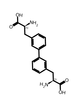 N[C@@H](Cc1cccc(-c2cccc(C[C@H](N)C(=O)O)c2)c1)C(=O)O